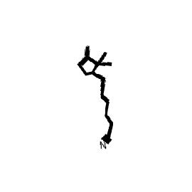 CC1=CCC(C/C=C/CCC#N)C1(C)C